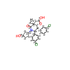 C[C@@]1(CC(=O)O)C[C@H](c2cccc(Cl)c2)[C@@H](c2ccc(Cl)cc2)N([C@H]2CC[C@H](O)C2)C1=O